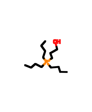 CCCC[P+](CCCC)(CCCC)CCCO